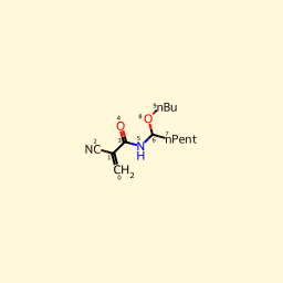 C=C(C#N)C(=O)NC(CCCCC)OCCCC